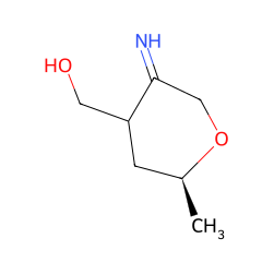 C[C@H]1CC(CO)C(=N)CO1